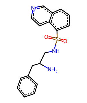 NC(CNS(=O)(=O)c1cccc2cnccc12)Cc1ccccc1